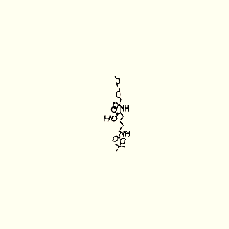 COCCOCC(=O)N[C@@H](CCCCNC(=O)OC(C)(C)C)C(=O)O